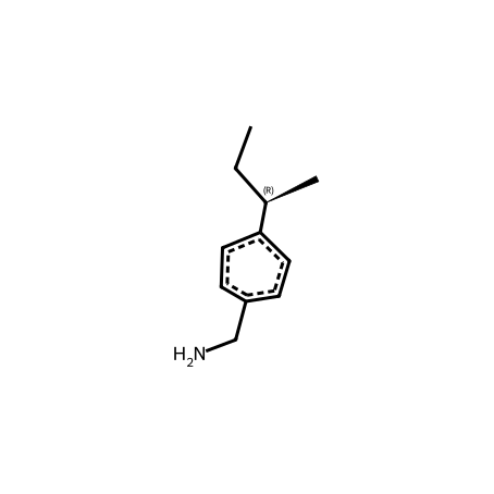 CC[C@@H](C)c1ccc(CN)cc1